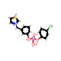 O=P(O)(Oc1ccc(Cl)cc1)Oc1cccc(C[n+]2ccsc2)c1